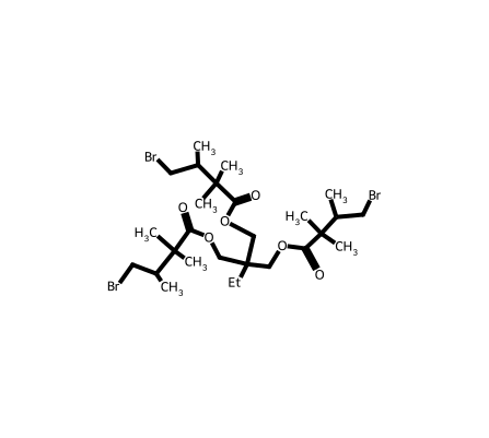 CCC(COC(=O)C(C)(C)C(C)CBr)(COC(=O)C(C)(C)C(C)CBr)COC(=O)C(C)(C)C(C)CBr